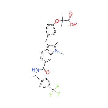 Cc1c(Cc2ccc(OC(C)(C)C(=O)O)cc2)c2ccc(C(=O)N[C@@H](C)c3ccc(C(F)(F)F)cc3)cc2n1C